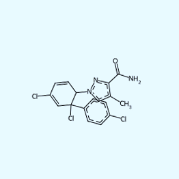 Cc1cn(C2C=CC(Cl)=CC2(Cl)c2ccc(Cl)cc2)nc1C(N)=O